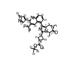 CC1C(=O)N(C)Cc2c(-c3cccc4nc(-c5cnn(C)c5)c(C(F)F)cc34)nc(C3CN(C(=O)OC(C)(C)C)C3)n21